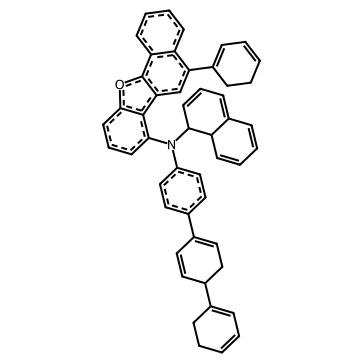 C1=CCCC(c2cc3c(oc4cccc(N(c5ccc(C6=CCC(C7=CC=CCC7)C=C6)cc5)C5C=CC=C6C=CC=CC65)c43)c3ccccc23)=C1